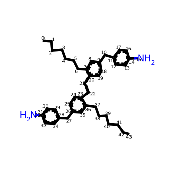 CCCCCCCc1cc(Cc2ccc(N)cc2)ccc1CCc1ccc(Cc2ccc(N)cc2)cc1CCCCCCC